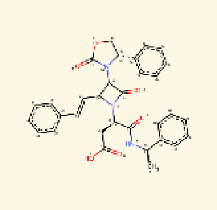 C[C@@H](NC(=O)[C@@H](CC(=O)O)N1C(=O)C(N2C(=O)OC[C@@H]2c2ccccc2)C1C=Cc1ccccc1)c1ccccc1